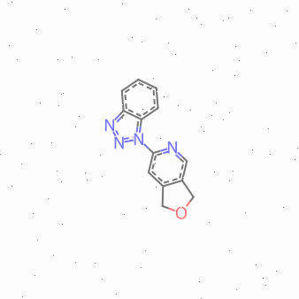 c1ccc2c(c1)nnn2-c1cc2c(cn1)COC2